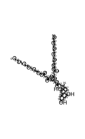 COCCOCCOCCOCCOCCOCOC(=O)CCC(=O)OCC(COC(=O)CCC(C)C1CCC2C3C(C[C@H](O)C12C)C1(C)CC[C@@H](O)CC1C[C@H]3O)OC(=O)CCC(=O)OCOCCOCCOCCOCCOCCOC